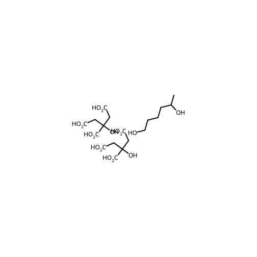 CC(O)CCCCO.O=C(O)CC(O)(CC(=O)O)C(=O)O.O=C(O)CC(O)(CC(=O)O)C(=O)O